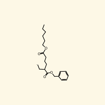 [CH2]CC(CCCC(=O)OCCCCCC)C(=O)OCc1ccccc1